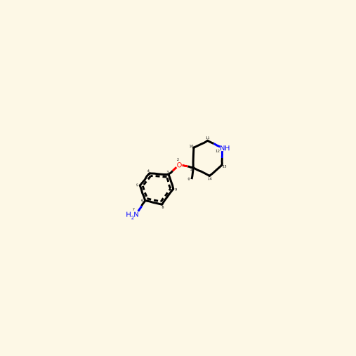 CC1(Oc2ccc(N)cc2)CCNCC1